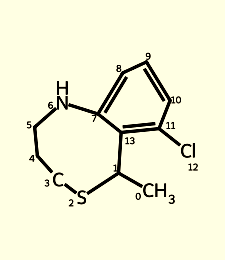 CC1SCCCNc2cccc(Cl)c21